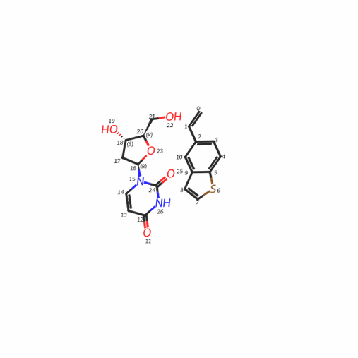 C=Cc1ccc2sccc2c1.O=c1ccn([C@H]2C[C@H](O)[C@@H](CO)O2)c(=O)[nH]1